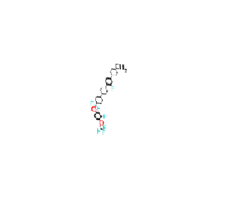 CC1CCC(c2ccc(C3CCC(C4CCC(C(F)(F)Oc5ccc(OCC(F)(F)F)c(F)c5)CC4)CC3)c(F)c2)CC1